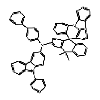 CC1(C)c2ccccc2C2(c3ccccc3-n3c4ccccc4c4cccc2c43)c2ccc(N(c3ccc(-c4ccccc4)cc3)c3ccc4c(c3)c3ccccc3n4-c3ccccc3)cc21